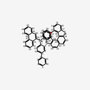 c1ccc(-c2ccc(N(c3ccc(-c4cccc5sc6ccc7ccc8sc9ccccc9c8c7c6c45)cc3)c3cc4ccccc4c4ccccc34)cc2)cc1